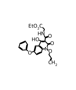 C=CCOn1c(=O)c(C(=O)NCC(=O)OCC)c(O)c2cc(Oc3ccccc3)ccc21